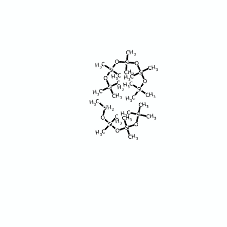 C[SiH2]O[Si](C)(C)O[Si](C)(C)O[Si](C)(C)C.C[Si](C)(C)O[Si](C)(C)O[Si](C)(C)O[Si](C)(C)O[Si](C)(C)C